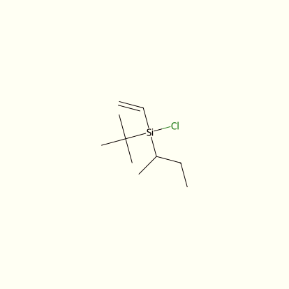 C=C[Si](Cl)(C(C)CC)C(C)(C)C